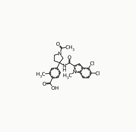 CC(=O)N1CCC(NC(=O)c2cc3c(Cl)c(Cl)ccc3n2C)(c2ccc(C(=O)O)c(C)c2)C1